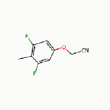 Cc1c(F)cc(OCC#N)cc1F